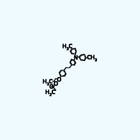 C=CC(=O)OC(C)COc1ccc(CCc2ccc(N(c3ccc(C)cc3)c3ccc(C)cc3)cc2)cc1